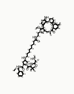 CC[C@H](NC(=O)[C@H]1C[C@@H](NCCCCCCCCC(=O)NCCn2nc3c(c2OC)-c2cnc(N)c(c2)N2CCC[C@@H]2C2C=C(F)C=CC2C(=O)N(C)C3)CN1C(=O)[C@H](NC(=O)[C@@H](C)NC)C(C)(C)C)c1ccccc1